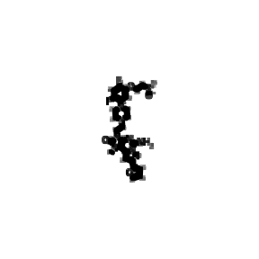 Cn1c(=O)n(CCN2CCN(c3cc(OCC[S+](C)[O-])c(F)cc3F)CC2)c2nc(N)n3nc(-c4ccco4)cc3c21